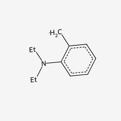 [CH2]c1ccccc1N(CC)CC